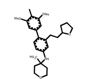 COc1cc(-c2ccc(NC3(C(=O)O)CCOCC3)cc2CCC2CCCO2)cc(OC)c1C